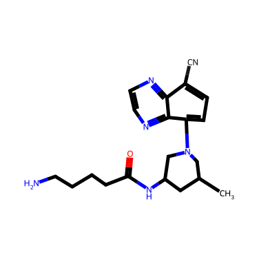 CC1CC(NC(=O)CCCCN)CN(c2ccc(C#N)c3nccnc23)C1